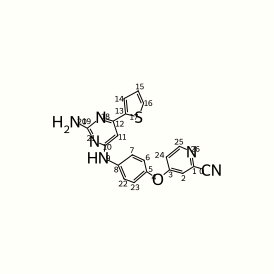 N#Cc1cc(Oc2ccc(Nc3cc(-c4cccs4)nc(N)n3)cc2)ccn1